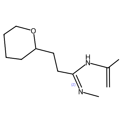 C=C(C)N/C(CCC1CCCCO1)=N\C